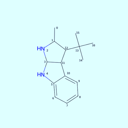 CC1NC2Nc3ccccc3C2C1C(C)(C)C